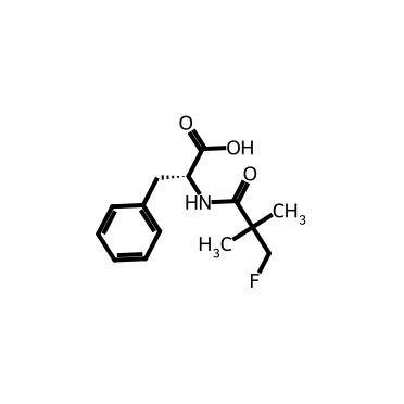 CC(C)(CF)C(=O)N[C@H](Cc1ccccc1)C(=O)O